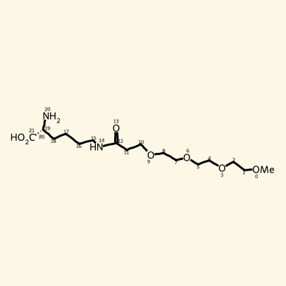 COCCOCCOCCOCCC(=O)NCCCC[C@@H](N)C(=O)O